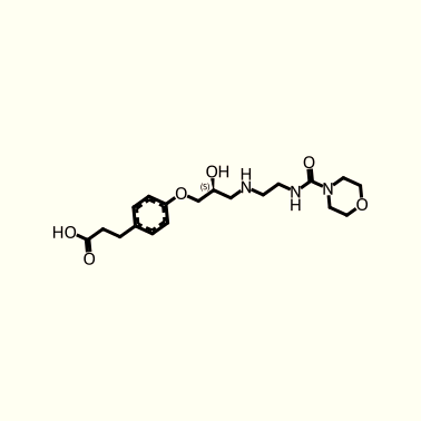 O=C(O)CCc1ccc(OC[C@@H](O)CNCCNC(=O)N2CCOCC2)cc1